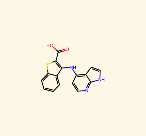 O=C(O)c1sc2ccccc2c1Nc1ccnc2[nH]ccc12